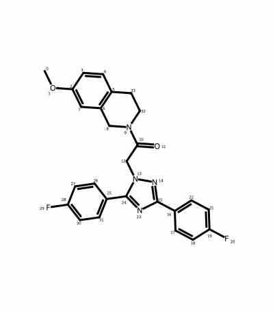 COc1ccc2c(c1)CN(C(=O)Cn1nc(-c3ccc(F)cc3)nc1-c1ccc(F)cc1)CC2